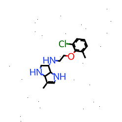 CC1=CNC2C1NC[C@H]2NCCOc1c(C)cccc1Cl